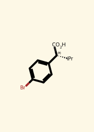 CC(C)[C@@H](C(=O)O)c1ccc(Br)cc1